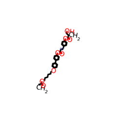 C=CC(=O)OCCCCCCOc1ccc(-c2ccc(OC(=O)/C=C/c3ccc(OC(=O)C(=C)CO)cc3)cc2)cc1